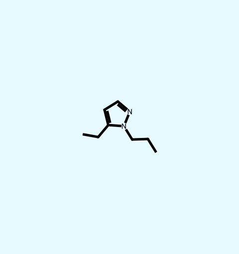 CCCn1nccc1CC